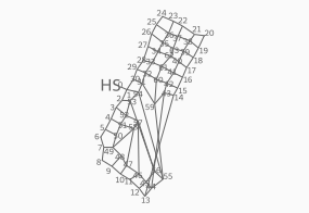 SC12C3C4C5C6CC7CC8C9C%10C%11C%12C%13C%14C%15C%16C%17C%18CC%19C%20C%21CC%22C%23C%24C%25C%26C1C1%27C%26%28C%25%26C%24%25C%23%24C%21%22C%20%21C%19%18C%17%18C%16%17C%15%16C%14%15C%13%14C%12%13C%11%12C%10%11C9%10C8C78C6C56C45C34C21C%13(C%124C%115C8%106)C%14%27C%15%28C%16%26C%17%25C%21%18%24